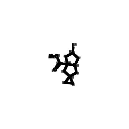 COC(=O)[C@@]12C[C@@H](F)CN1CC1(CC1)C2